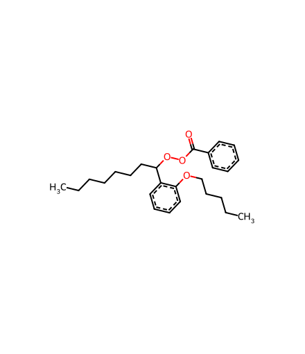 CCCCCCCC(OOC(=O)c1ccccc1)c1ccccc1OCCCCC